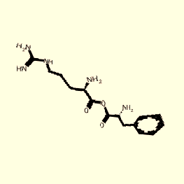 N=C(N)NCCC[C@@H](N)C(=O)OC(=O)[C@H](N)Cc1ccccc1